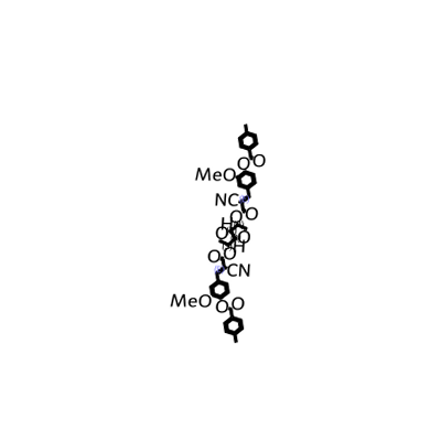 COc1cc(/C=C(\C#N)C(=O)O[C@H]2CO[C@H]3[C@@H]2OC[C@H]3OC(=O)/C(C#N)=C/c2ccc(OC(=O)c3ccc(C)cc3)c(OC)c2)ccc1OC(=O)c1ccc(C)cc1